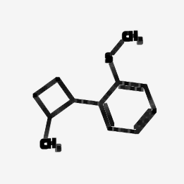 CSc1ccccc1C1CCC1C